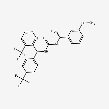 COc1cccc([C@H](C)NC(=O)NC(c2ccc(C(F)(F)F)cc2)c2ncccc2C(F)(F)F)c1